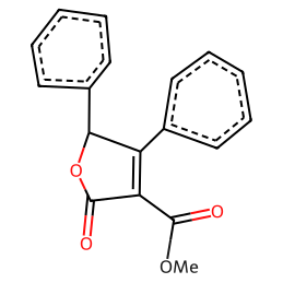 COC(=O)C1=C(c2ccccc2)C(c2ccccc2)OC1=O